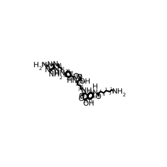 NCCCCCC(=O)Nc1ccc(C(=O)O)c(C(=O)NCCCC(NC(=O)c2ccc(NCc3cnc4nc(N)nc(N)c4n3)cc2)C(=O)O)c1